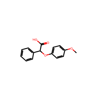 COc1ccc(O[C](C(=O)O)c2ccccc2)cc1